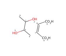 CC(O)C(C)O.O=C(O)/C=C\C(=O)O